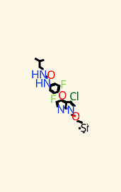 CC(C)CCNC(=O)Nc1cc(F)c(Oc2ccnc3c2c(Cl)cn3COCC[Si](C)(C)C)c(F)c1